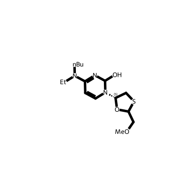 CCCCN(CC)C1=NC(O)N([C@@H]2CSC(COC)O2)C=C1